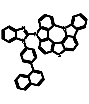 c1ccc2c(-c3ccc(-n4c(-n5c6ccc7sc8ccc9c%10ccccc%10n%10c%11cccc5c%11c6c7c8c9%10)nc5ccccc54)cc3)cccc2c1